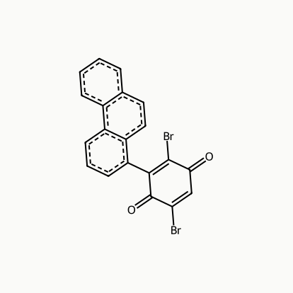 O=C1C=C(Br)C(=O)C(c2cccc3c2ccc2ccccc23)=C1Br